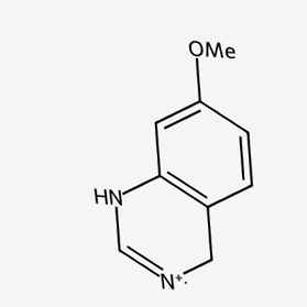 COc1ccc2c(c1)NC=[N+]C2